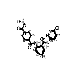 CC(C)(C)OC(=O)N1CCC(C(=O)Nc2ccc(Cl)cc2C(=O)Nc2ccc(Cl)nn2)CC1